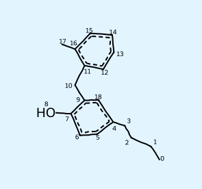 CCCCc1ccc(O)c(Cc2ccccc2C)c1